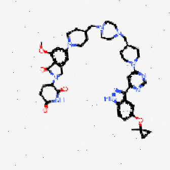 COc1cc(N2CCC(CN3CCN(CC4CCN(c5cc(-c6n[nH]c7ccc(OC8(C)CC8)cc67)ncn5)CC4)CC3)CC2)cc2c1C(=O)N(C1CCC(=O)NC1=O)C2